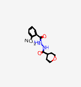 O=C(NNC(=O)C1CCOCC1)c1ccccc1[N+](=O)[O-]